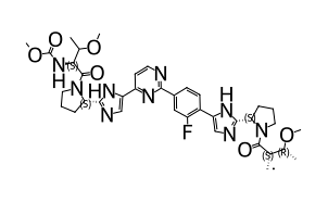 [CH2][C@H](C(=O)N1CCC[C@H]1c1ncc(-c2ccc(-c3nccc(-c4cnc([C@@H]5CCCN5C(=O)[C@@H](NC(=O)OC)C(C)OC)[nH]4)n3)cc2F)[nH]1)[C@@H](C)OC